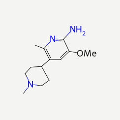 COc1cc(C2CCN(C)CC2)c(C)nc1N